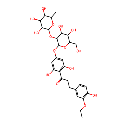 CCOc1cc(CCC(=O)c2c(O)cc(OC3OC(CO)C(O)C(O)C3OC3OC(C)C(O)C(O)C3O)cc2O)ccc1O